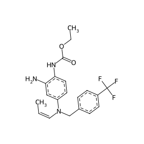 C/C=C\N(Cc1ccc(C(F)(F)F)cc1)c1ccc(NC(=O)OCC)c(N)c1